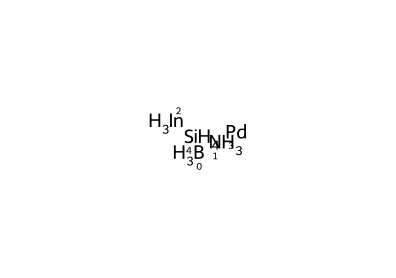 B.N.[InH3].[Pd].[SiH4]